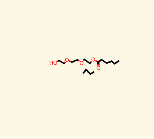 CCCC.CCCCCC(=O)OCCOCCOCCO